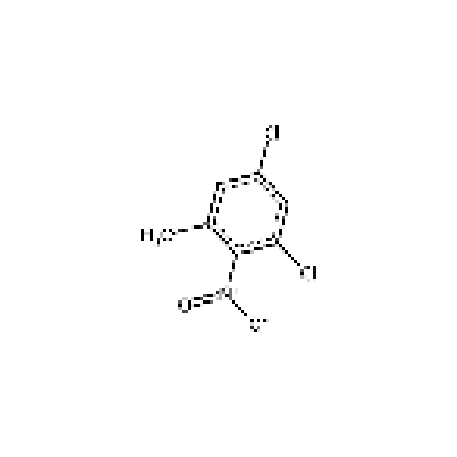 Cc1cc(Cl)cc(Cl)c1[N+](=O)[O-]